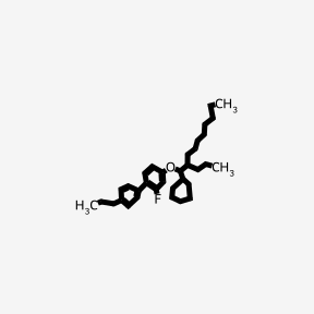 CCCCCCCCC(CCC)C(Oc1ccc(-c2ccc(CCC)cc2)c(F)c1)C1CCCCC1